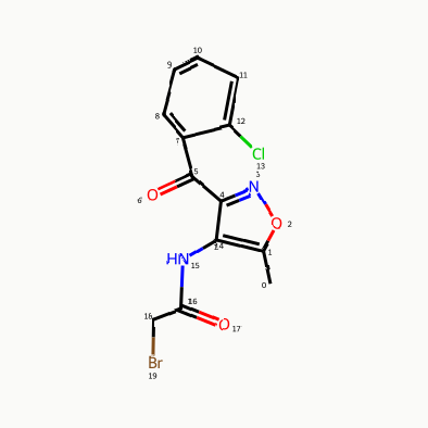 Cc1onc(C(=O)c2ccccc2Cl)c1NC(=O)CBr